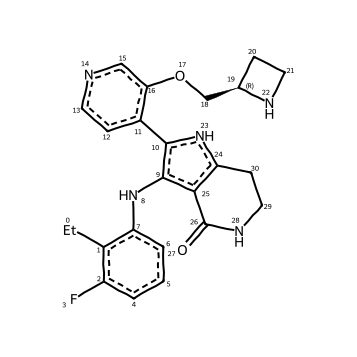 CCc1c(F)cccc1Nc1c(-c2ccncc2OC[C@H]2CCN2)[nH]c2c1C(=O)NCC2